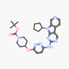 CC(C)(C)OC(=O)N1CCC(Oc2ccc(Nc3ncc4c5ccncc5n(C5CCCC5)c4n3)nn2)CC1